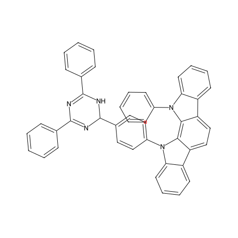 c1ccc(C2=NC(c3ccc(-n4c5ccccc5c5ccc6c7ccccc7n(-c7ccccc7)c6c54)cc3)NC(c3ccccc3)=N2)cc1